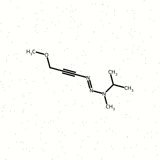 COCC#C/N=N/N(C)C(C)C